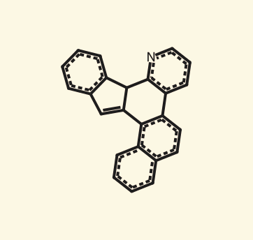 C1=C2c3c(ccc4ccccc34)-c3cccnc3C2c2ccccc21